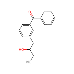 N#CCC(O)Cc1cccc(C(=O)c2ccccc2)c1